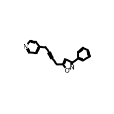 C(#CCc1cc(-c2ccccc2)no1)Cc1ccncc1